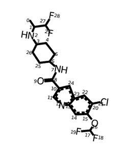 CC(NC1CCC(NC(=O)c2cnc3cc(OC(F)F)c(Cl)cc3c2)CC1)C(F)F